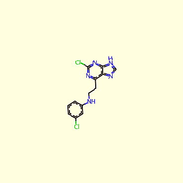 Clc1cccc(NCCc2nc(Cl)nc3[nH]cnc23)c1